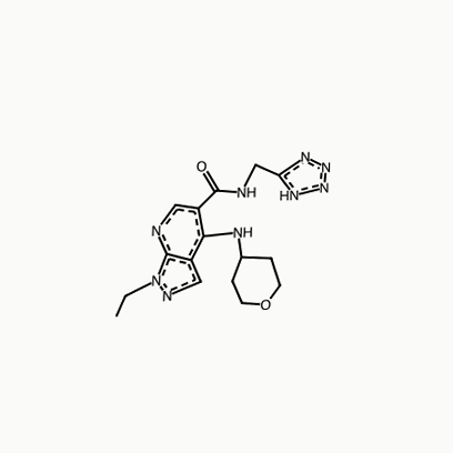 CCn1ncc2c(NC3CCOCC3)c(C(=O)NCc3nnn[nH]3)cnc21